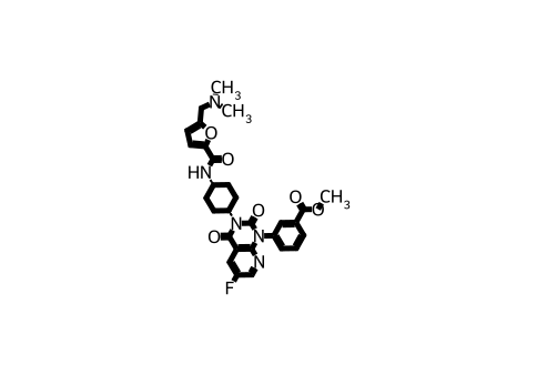 COC(=O)c1cccc(-n2c(=O)n([C@H]3CC[C@@H](NC(=O)c4ccc(CN(C)C)o4)CC3)c(=O)c3cc(F)cnc32)c1